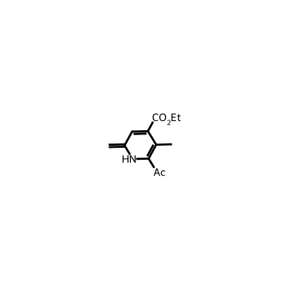 C=C1C=C(C(=O)OCC)C(C)=C(C(C)=O)N1